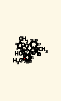 Cc1ccc(C(O)(C(=O)C(OS(C)(=O)=O)(c2ccccc2)c2ccc(C)o2)c2ccccc2)o1